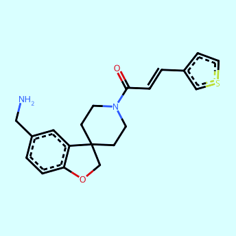 NCc1ccc2c(c1)C1(CCN(C(=O)C=Cc3ccsc3)CC1)CO2